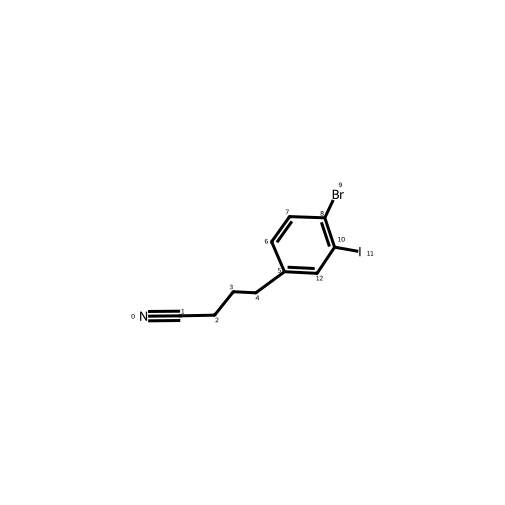 N#CCCCc1ccc(Br)c(I)c1